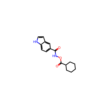 O=C(NOC(=O)C1CCCCC1)c1ccc2[nH]ccc2c1